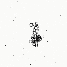 C[C@@H]1CN2c3cc(-c4ccc(F)c(Cl)c4)ccc3CC3(C(=O)NC(=O)NC3=O)[C@H]2[C@H](C)O1